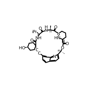 CC(C)[C@@H]1NC(=O)[C@]2(CCc3ccc4ccc(nc4c3)[C@@H](C)OC(=O)[C@@H]3CCCN(N3)C(=O)[C@H](C)NC1=O)CC[C@H](O)CC2